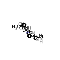 CC(C)(C)c1cccc(NC(=O)/C(=C/c2cccc(Oc3ccnc(C4=NCCN4)c3)c2)CO)c1